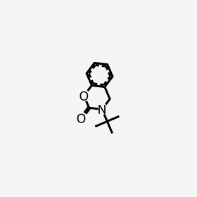 CC(C)(C)N1Cc2ccccc2OC1=O